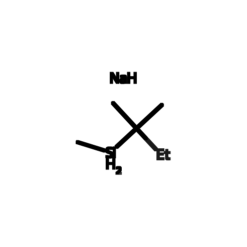 CCC(C)(C)[SiH2]C.[NaH]